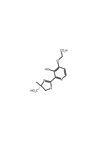 C[C@]1(C(=O)O)CSC(c2nccc(OCC(=O)O)c2O)=N1